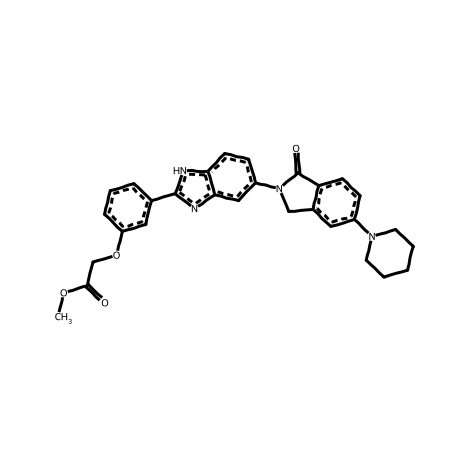 COC(=O)COc1cccc(-c2nc3cc(N4Cc5cc(N6CCCCC6)ccc5C4=O)ccc3[nH]2)c1